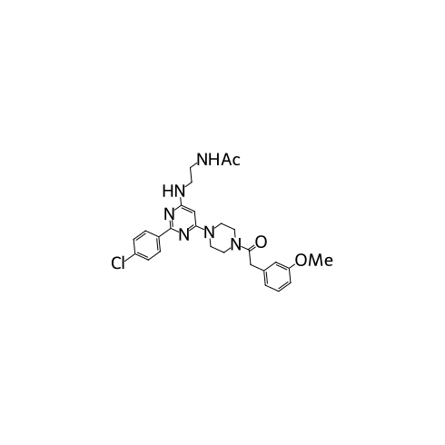 COc1cccc(CC(=O)N2CCN(c3cc(NCCNC(C)=O)nc(-c4ccc(Cl)cc4)n3)CC2)c1